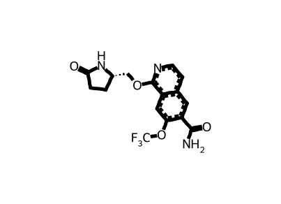 NC(=O)c1cc2ccnc(OC[C@@H]3CCC(=O)N3)c2cc1OC(F)(F)F